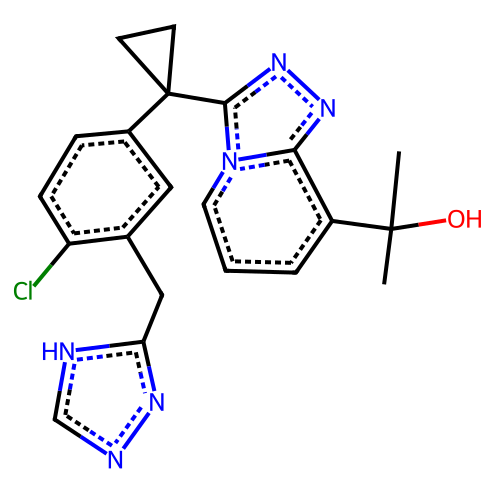 CC(C)(O)c1cccn2c(C3(c4ccc(Cl)c(Cc5nnc[nH]5)c4)CC3)nnc12